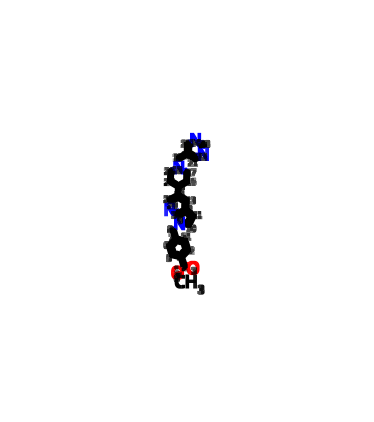 COC(=O)c1ccc(Cn2ccc3cc(C4CCN(Cc5cncnc5)CC4)cnc32)cc1